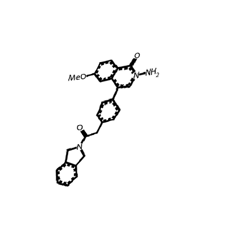 COc1ccc2c(=O)n(N)cc(-c3ccc(CC(=O)N4Cc5ccccc5C4)cc3)c2c1